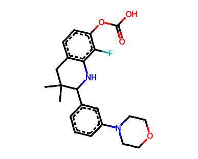 CC1(C)Cc2ccc(OC(=O)O)c(F)c2NC1c1cccc(N2CCOCC2)c1